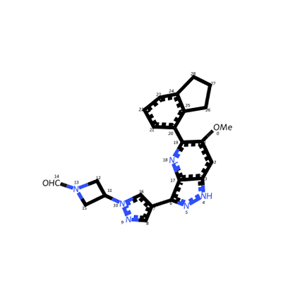 COc1cc2[nH]nc(-c3cnn(C4CN(C=O)C4)c3)c2nc1-c1cccc2c1CCC2